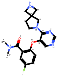 CC(C)N(C(=O)c1cc(F)ccc1Oc1cncnc1N1CCC2(CNC2)C1)C(C)C